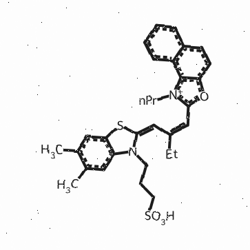 CCC[n+]1c(C=C(C=C2Sc3cc(C)c(C)cc3N2CCCS(=O)(=O)O)CC)oc2ccc3ccccc3c21